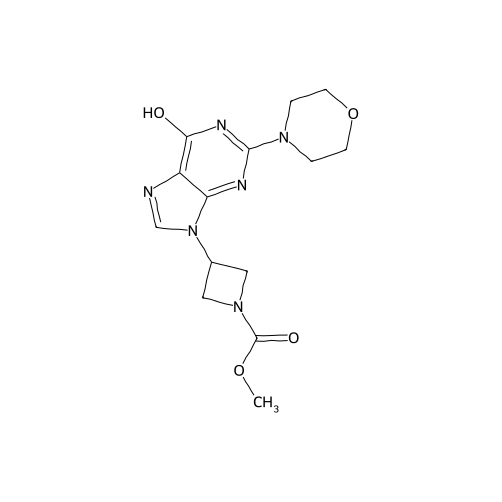 COC(=O)N1CC(n2cnc3c(O)nc(N4CCOCC4)nc32)C1